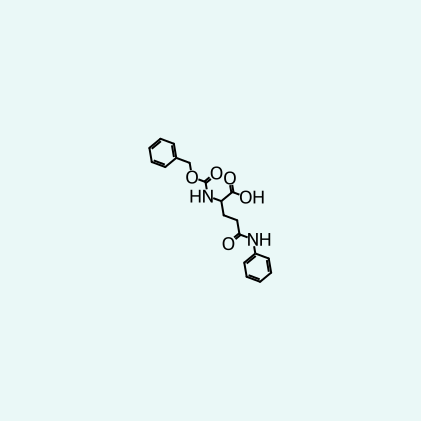 O=C(CCC(NC(=O)OCc1ccccc1)C(=O)O)Nc1ccccc1